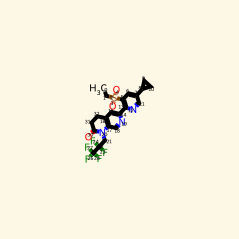 CCS(=O)(=O)c1cc(C2CC2)cnc1-c1cc2c(cn1)N(CC(F)(F)C(F)(F)F)C(=O)CC2